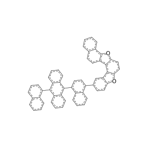 c1ccc2c(-c3c4ccccc4c(-c4ccc(-c5ccc6oc7ccc8oc9c%10ccccc%10ccc9c8c7c6c5)c5ccccc45)c4ccccc34)cccc2c1